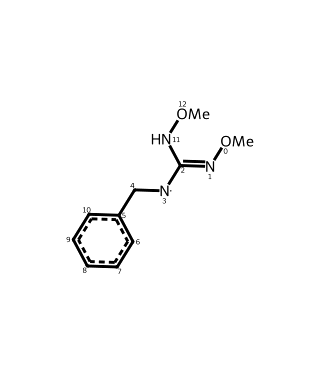 CON=C([N]Cc1ccccc1)NOC